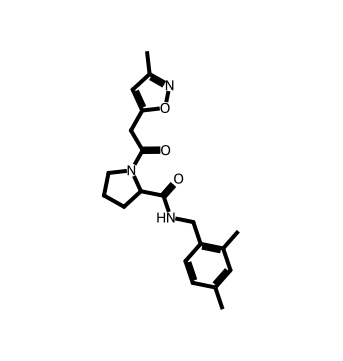 Cc1ccc(CNC(=O)C2CCCN2C(=O)Cc2cc(C)no2)c(C)c1